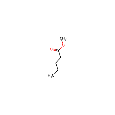 [CH2]OC(=O)CCCC